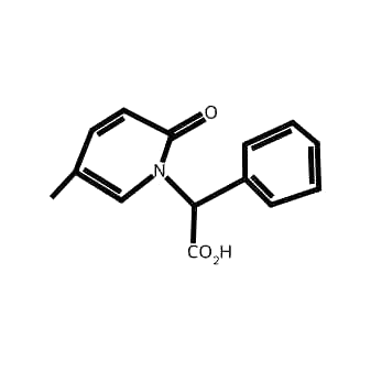 Cc1ccc(=O)n(C(C(=O)O)c2ccccc2)c1